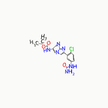 CC(C)OC(=O)Nc1cnc2nc(-c3cc(NC(N)=O)ccc3Cl)cn2c1